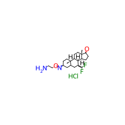 C[C@]12CCC(=NOCCN)CC1CC(=C(F)F)[C@@H]1[C@@H]2CC[C@]2(C)C(=O)CC[C@@H]12.Cl